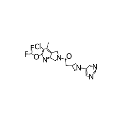 Cc1c(Cl)c(OC(F)F)nc2c1CN(C(=O)CC1CN(c3cncnc3)C1)C2